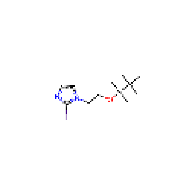 CC(C)(C)[Si](C)(C)OCCn1ccnc1I